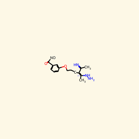 CC(=N)/C(CCCOc1cccc(C(=O)N=O)c1)=C(/C)NN